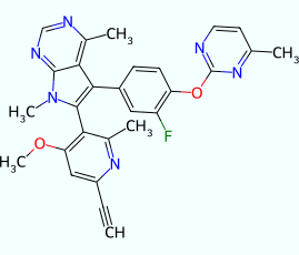 C#Cc1cc(OC)c(-c2c(-c3ccc(Oc4nccc(C)n4)c(F)c3)c3c(C)ncnc3n2C)c(C)n1